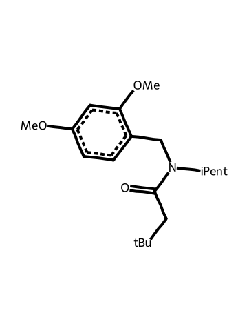 CCCC(C)N(Cc1ccc(OC)cc1OC)C(=O)CC(C)(C)C